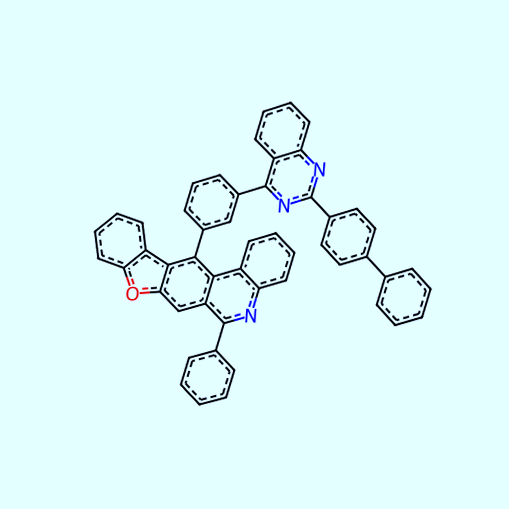 c1ccc(-c2ccc(-c3nc(-c4cccc(-c5c6c(cc7c(-c8ccccc8)nc8ccccc8c57)oc5ccccc56)c4)c4ccccc4n3)cc2)cc1